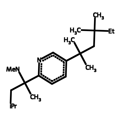 CCC(C)(C)CC(C)(C)c1ccc(C(C)(CC(C)C)NC)nc1